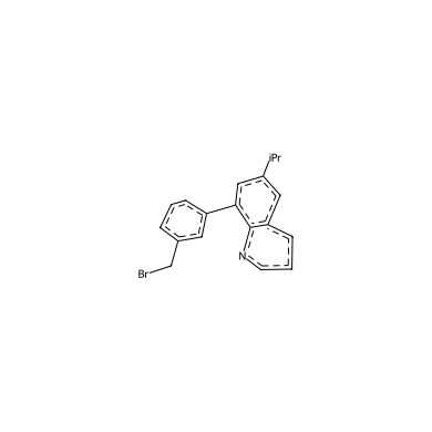 CC(C)c1cc(-c2cccc(CBr)c2)c2ncccc2c1